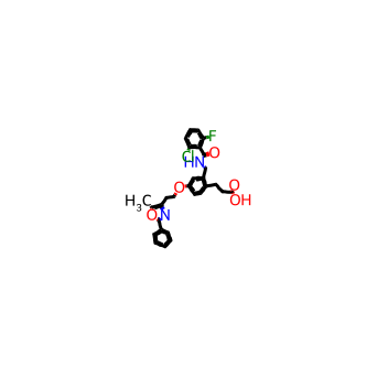 Cc1oc(-c2ccccc2)nc1CCOc1ccc(CCC(=O)O)c(CNC(=O)c2c(F)cccc2Cl)c1